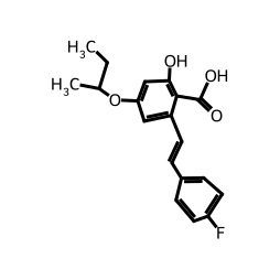 CCC(C)Oc1cc(O)c(C(=O)O)c(C=Cc2ccc(F)cc2)c1